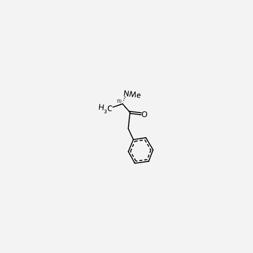 CN[C@@H](C)C(=O)Cc1ccccc1